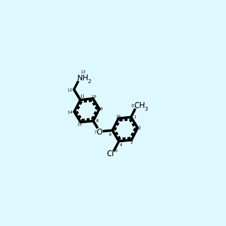 Cc1ccc(Cl)c(Oc2ccc(CN)cc2)c1